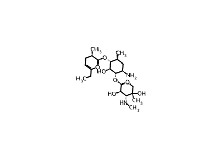 CCC1=CC[C@@H](C)[C@@H](O[C@H]2[C@H](O)[C@@H](O[C@H]3OC[C@](C)(O)[C@H](NC)[C@H]3O)[C@H](N)C[C@@H]2C)O1